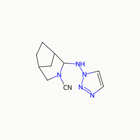 N#CN1CC2CCC(C2)C1Nn1ccnn1